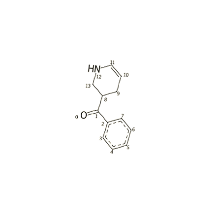 O=C(c1ccccc1)C1CC=CNC1